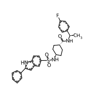 C[C@@H](NC(=O)[C@H]1CC[C@H](NS(=O)(=O)c2ccc3[nH]c(-c4ccccc4)cc3c2)CC1)c1ccc(F)cc1